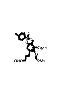 COCOc1c(CCCC=O)cc(OS(=O)(=O)c2ccc(C)cc2)c(C)c1OC